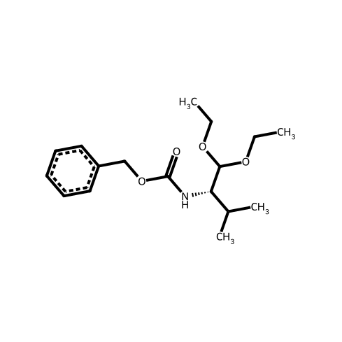 CCOC(OCC)[C@@H](NC(=O)OCc1ccccc1)C(C)C